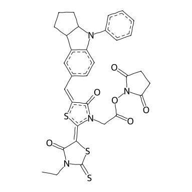 CCN1C(=O)/C(=c2\s/c(=C/c3ccc4c(c3)C3CCCC3N4c3ccccc3)c(=O)n2CC(=O)ON2C(=O)CCC2=O)SC1=S